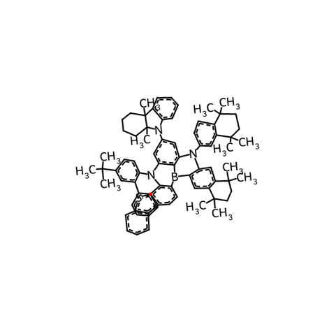 CC(C)(C)c1ccc(N2c3cc(N4c5ccccc5C5(C)CCCCC45C)cc4c3B(c3cc5c(cc3N4c3ccc4c(c3)C(C)(C)CCC4(C)C)C(C)(C)CCC5(C)C)c3ccc4c(sc5ccccc54)c32)c(-c2ccccc2)c1